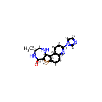 C[C@@H]1CNc2c(sc3ccc4nc(-n5ccnc5)ccc4c23)C(=O)N1